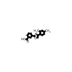 Cc1ccc(-c2coc(-c3cccc(C(=O)O)c3)n2)c(C)c1